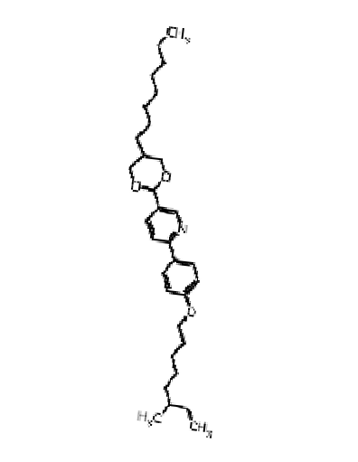 CCCCCCCCC1COC(c2ccc(-c3ccc(OCCCCCC(C)CC)cc3)nc2)OC1